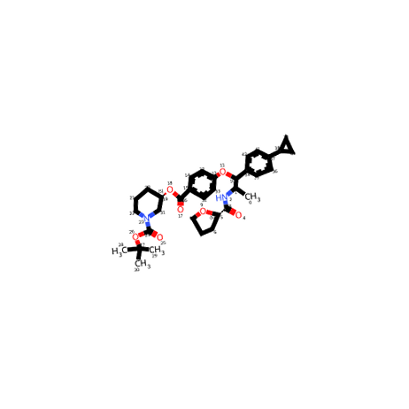 CC(NC(=O)[C@@H]1CCCO1)C(Oc1ccc(C(=O)O[C@H]2CCCN(C(=O)OC(C)(C)C)C2)cc1)c1ccc(C2CC2)cc1